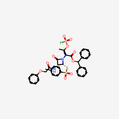 CC(OS(=O)(=O)F)=C(C(=O)OC(c1ccccc1)c1ccccc1)N1C(=O)[C@@H](NC(=O)COc2ccccc2)[C@H]1SS(=O)(=O)c1ccc(C)cc1